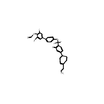 C/C=C/C1CCC(c2ccc(C(F)(F)Oc3ccc(-c4cc(F)c(OCF)c(F)c4)cc3)c(F)c2)CC1